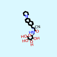 N#C/C(=C\c1ccc2cc(N3CCCCC3)ccc2c1)C(=O)NC[C@H]1OC(O)[C@H](O)[C@@H](O)[C@H]1O